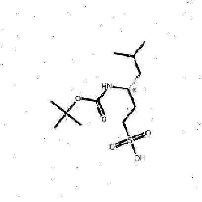 CC(C)C[C@H](CCS(=O)(=O)O)NC(=O)OC(C)(C)C